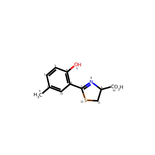 Cc1ccc(O)c(C2=NC(C(=O)O)CS2)c1